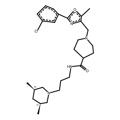 Cc1oc(-c2cccc(Cl)c2)nc1CN1CCC(C(=O)NCCCN2C[C@H](C)C[C@H](C)C2)CC1